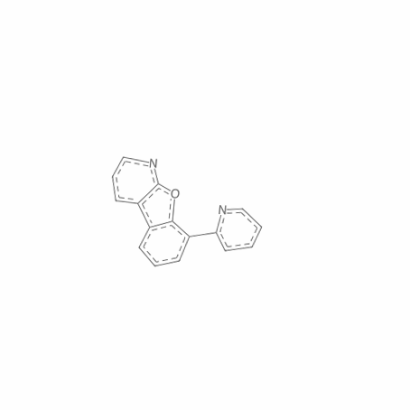 c1ccc(-c2cccc3c2oc2ncccc23)nc1